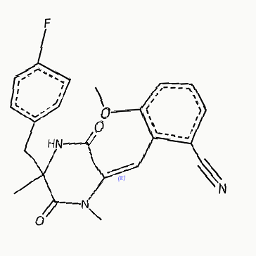 COc1cccc(C#N)c1/C=C1\C(=O)NC(C)(Cc2ccc(F)cc2)C(=O)N1C